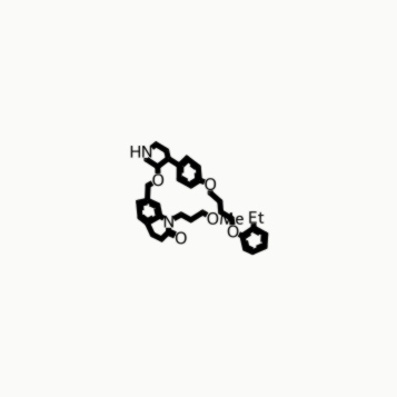 CCc1ccccc1OCCCCOc1ccc(C2CCNCC2OCc2ccc3c(c2)N(CCCOC)C(=O)CC3)cc1